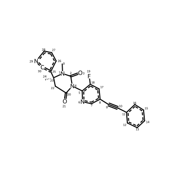 CN1C(=O)N(c2ncc(C#Cc3ccccc3)cc2F)C(=O)C[C@@]1(C)c1cccnc1